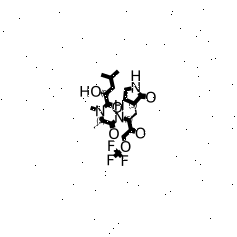 CC(C)C[C@@H](O)C(=O)N(C)[C@@H](C)C(=O)N[C@@H](C[C@@H]1CCNC1=O)C(=O)COC(F)(F)F